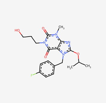 CC(C)Oc1nc2c(c(=O)n(CCCO)c(=O)n2C)n1Cc1ccc(F)cc1